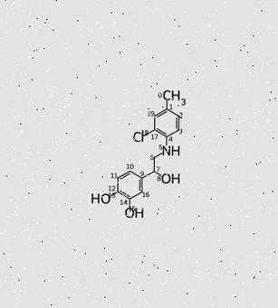 Cc1ccc(NCC(O)c2ccc(O)c(O)c2)c(Cl)c1